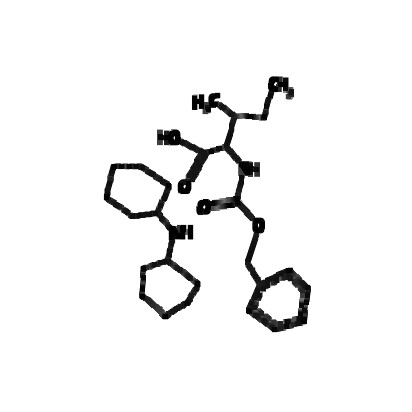 C1CCC(NC2CCCCC2)CC1.CCC(C)C(NC(=O)OCc1ccccc1)C(=O)O